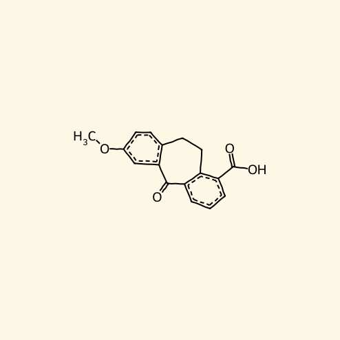 COc1ccc2c(c1)C(=O)c1cccc(C(=O)O)c1CC2